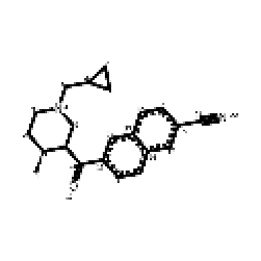 C[C@H]1CCN(CC2CC2)CC1C(=O)c1ccc2cc(C#N)ccc2c1